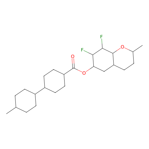 CC1CCC(C2CCC(C(=O)OC3CC4CCC(C)OC4C(F)C3F)CC2)CC1